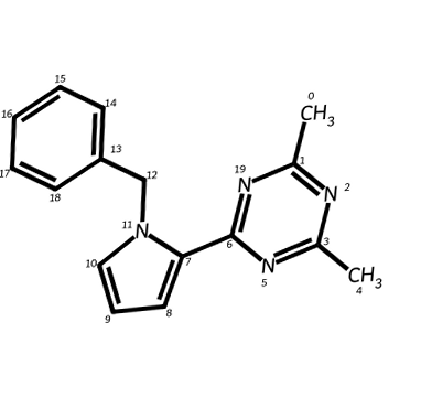 Cc1nc(C)nc(-c2cccn2Cc2ccccc2)n1